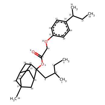 CCC(C)CC1(OC(=O)COc2ccc(C(C)CC)cc2)C2CC3CC1CC(C)(C3)C2